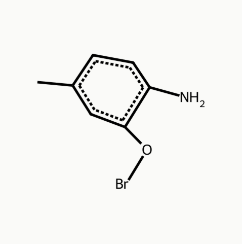 Cc1ccc(N)c(OBr)c1